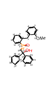 COc1ccccc1Cc1ccccc1[PH](=O)CC(O)(c1ccccc1)c1ccccc1